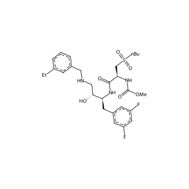 CCCCS(=O)(=O)C[C@@H](NC(=O)OC)C(=O)N[C@@H](Cc1cc(F)cc(F)c1)[C@H](O)CNCc1cccc(CC)c1